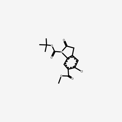 COC(=O)c1cc2c(cc1Cl)CC(=O)N2C(=O)OC(C)(C)C